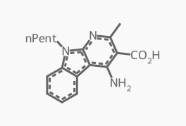 CCCCCn1c2ccccc2c2c(N)c(C(=O)O)c(C)nc21